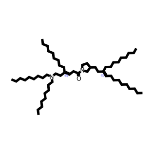 CCCCCCCCC/C=C(\CCCCCCCCC)CCC1CCN(C(=O)C/C=C(\CCCCCCCCC)CCN(CCCCCCCCC)CCCCCCCCC)C1